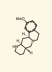 COc1ccc2c(c1)[C@@H]1C[C@@H]3NCCC[C@H]3CN1CC2